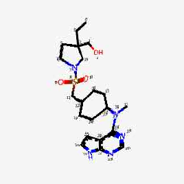 CCC1(CO)CCN(S(=O)(=O)CC2CCC(N(C)c3ncnc4[nH]ccc34)CC2)C1